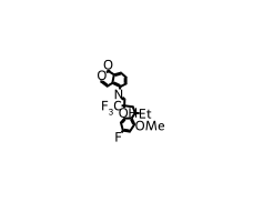 CCC(CC(O)(C=Nc1cccc2c(=O)occc12)C(F)(F)F)c1ccc(F)cc1OC